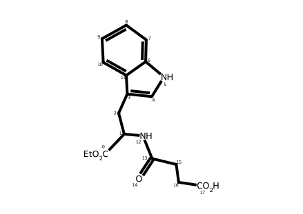 CCOC(=O)C(Cc1c[nH]c2ccccc12)NC(=O)CCC(=O)O